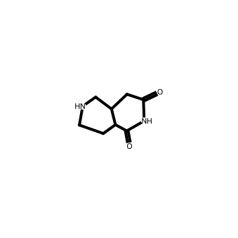 O=C1CC2CNCCC2C(=O)N1